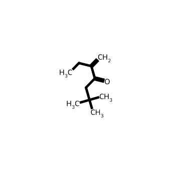 C=C(CC)C(=O)CC(C)(C)C